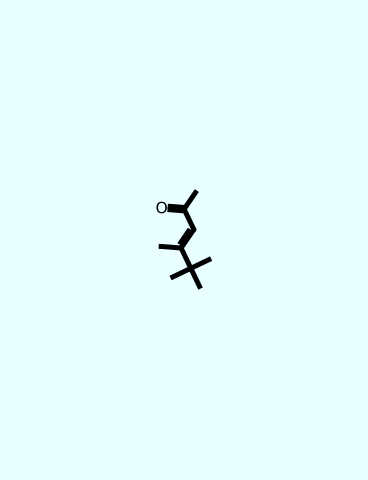 CC(=O)/C=C(\C)C(C)(C)C